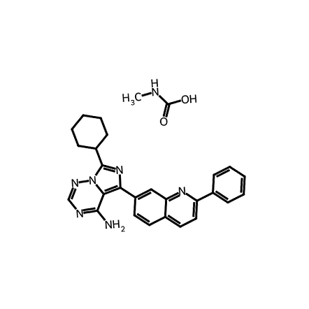 CNC(=O)O.Nc1ncnn2c(C3CCCCC3)nc(-c3ccc4ccc(-c5ccccc5)nc4c3)c12